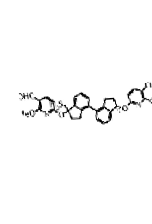 COc1nc(O[C@H]2CCc3c(-c4cccc5c4CCC5([SiH3])Oc4ccc(C=O)c(OC)n4)cccc32)ccc1C=O